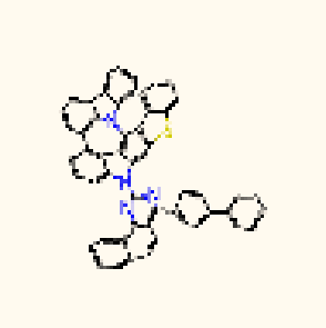 c1ccc(-c2ccc(-c3nc(-n4c5cccc6c7cccc8c9ccccc9n(c78)c7c8c(cc4c7c65)sc4ccccc48)nc4c3ccc3ccccc34)cc2)cc1